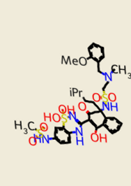 COc1ccccc1CN(C)CCS(=O)(=O)NC1(CCC(C)C)C(=O)C(C2=NS(O)(O)c3cc(NS(C)(=O)=O)ccc3N2)=C(O)c2ccccc21